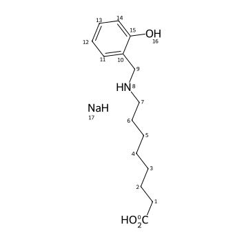 O=C(O)CCCCCCCNCc1ccccc1O.[NaH]